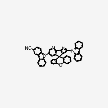 N#Cc1ccc2c(c1)c1ccccc1n2-c1cnc2c(c1)C1(c3ccccc3Oc3ccccc31)c1cc(-n3c4ccccc4c4ccccc43)cnc1-2